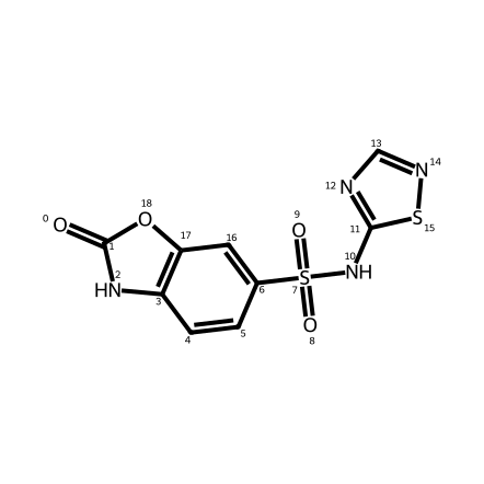 O=c1[nH]c2ccc(S(=O)(=O)Nc3ncns3)cc2o1